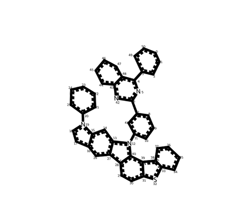 c1ccc(-c2nc(-c3cccc(-n4c5cc6c(ccn6-c6ccccc6)cc5c5ccc6sc7ccccc7c6c54)c3)nc3ccccc23)cc1